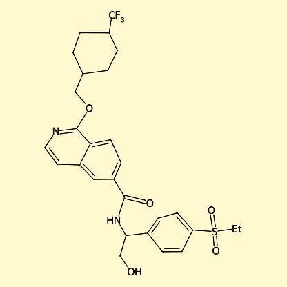 CCS(=O)(=O)c1ccc(C(CO)NC(=O)c2ccc3c(OCC4CCC(C(F)(F)F)CC4)nccc3c2)cc1